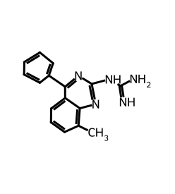 Cc1cccc2c(-c3ccccc3)nc(NC(=N)N)nc12